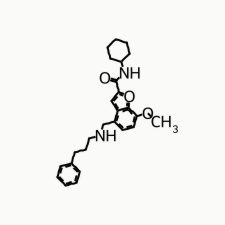 COc1ccc(CNCCCc2ccccc2)c2cc(C(=O)NC3CCCCC3)oc12